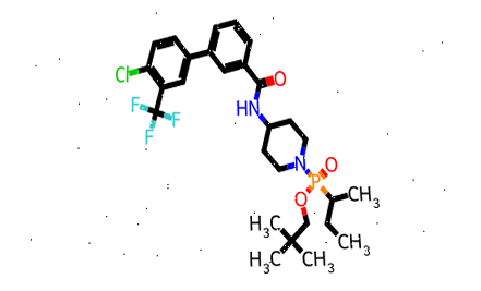 CCC(C)P(=O)(OCC(C)(C)C)N1CCC(NC(=O)c2cccc(-c3ccc(Cl)c(C(F)(F)F)c3)c2)CC1